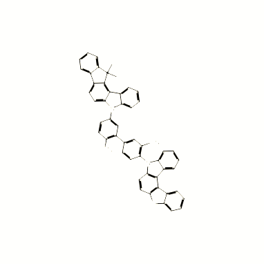 CC1(C)c2ccccc2-c2ccc3c(c21)c1ccccc1n3-c1ccc(C#N)c(-c2ccc(-n3c4ccccc4c4c5c(ccc43)oc3ccccc35)c(C#N)c2)c1